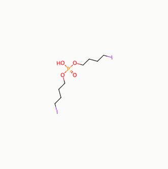 O=P(O)(OCCCCI)OCCCCI